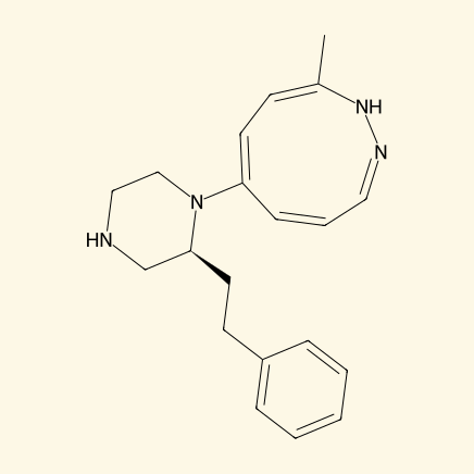 Cc1ccc(N2CCNC[C@@H]2CCc2ccccc2)cccn[nH]1